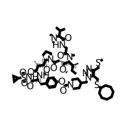 CC[C@H](C)[C@@H]([C@@H](CC(=O)N1CCC[C@H]1[C@H](OC)[C@@H](C)C(=O)N[C@@H](Cc1ccc(OC(=O)N2CCC(Cn3nnc(CSC)c3CSC3CCCCCCC3)CC2)cc1)C(=O)NS(=O)(=O)C1CC1)OC)N(C)C(=O)CNC(=O)C(C(C)C)N(C)C